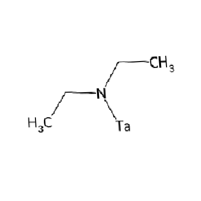 CC[N]([Ta])CC